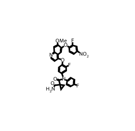 COc1cc2nccc(Oc3ccc(N(C(=O)C4(C(N)=O)CC4)c4ccc(F)cc4)cc3F)c2cc1Oc1ccc([N+](=O)[O-])cc1F